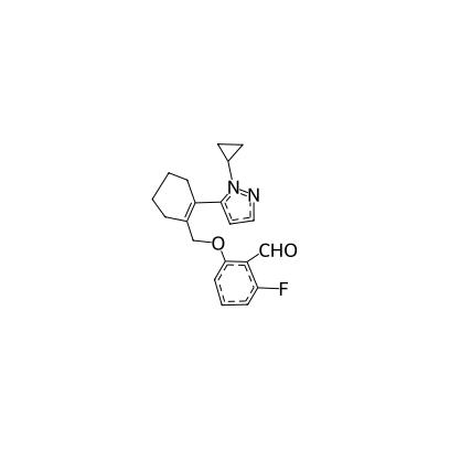 O=Cc1c(F)cccc1OCC1=C(c2ccnn2C2CC2)CCCC1